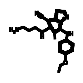 CCOc1ccc(Nc2c(C)c(NCCCN)c(C#N)c3ccnn23)cc1